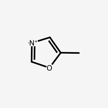 CC1=C[N+]=CO1